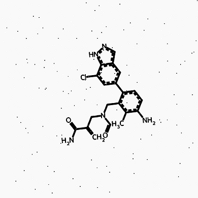 C=C(CN(C=O)Cc1c(-c2cc(Cl)c3[nH]ncc3c2)ccc(N)c1C)C(N)=O